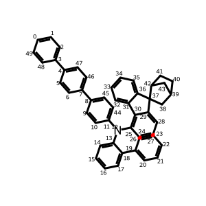 c1ccc(-c2ccc(-c3ccc(N(c4ccccc4-c4ccccc4)c4cccc5c4-c4ccccc4C54CC5CCC4C5)cc3)cc2)cc1